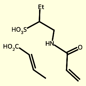 C=CC(=O)NCC(CC)S(=O)(=O)O.CC=CC(=O)O